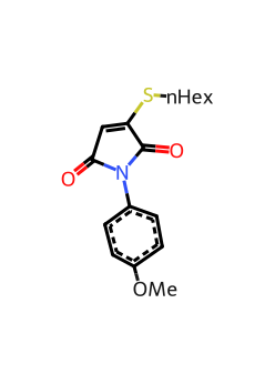 CCCCCCSC1=CC(=O)N(c2ccc(OC)cc2)C1=O